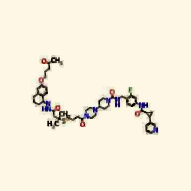 CC(=O)CCCOc1ccc2c(c1)CCC/C2=N\NC(=O)CC(C)(C)SSCCC(=O)N1CCN(C2CCN(C(=O)NCc3ccc(NC(=O)C4CC4c4cccnc4)cc3F)CC2)CC1